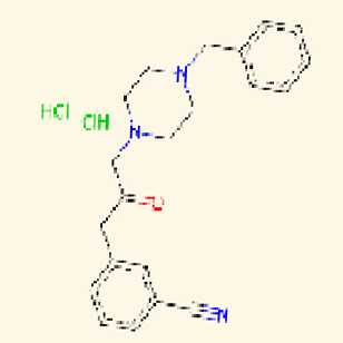 Cl.Cl.N#Cc1cccc(CC(=O)CN2CCN(Cc3ccccc3)CC2)c1